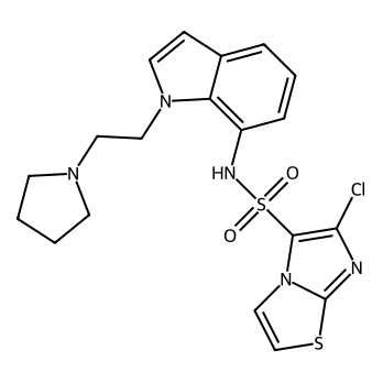 O=S(=O)(Nc1cccc2ccn(CCN3CCCC3)c12)c1c(Cl)nc2sccn12